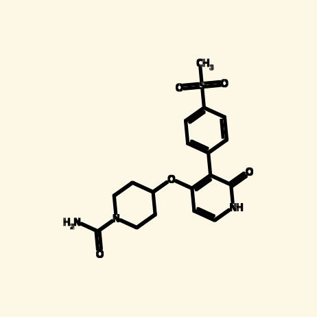 CS(=O)(=O)c1ccc(-c2c(OC3CCN(C(N)=O)CC3)cc[nH]c2=O)cc1